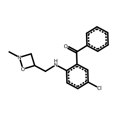 CN1CC(CNc2ccc(Cl)cc2C(=O)c2ccccc2)O1